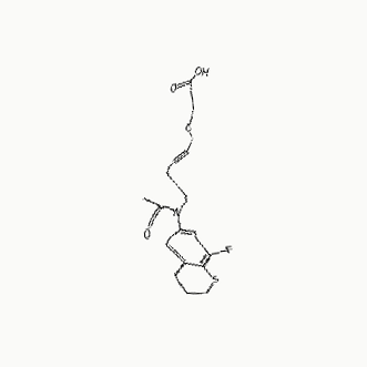 CC(=O)N(CCC#CCOCC(=O)O)c1cc(F)c2c(c1)CCCS2